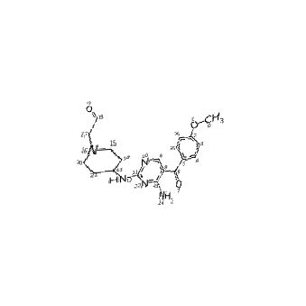 COc1ccc(C(=O)c2cnc(NC3CCN(CC=O)CC3)nc2N)cc1